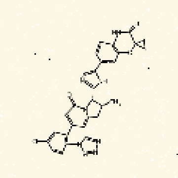 C[C@H]1Cc2cc(-c3cc(Cl)ccc3-n3cnnn3)cc(=O)n2[C@@H]1c1ncc(-c2ccc3c(c2)OC2(CC2)C(=O)N3)[nH]1